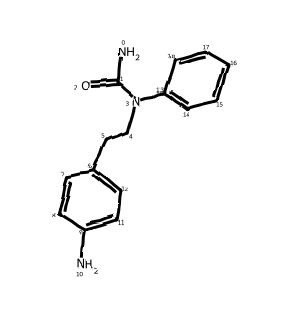 NC(=O)N(CCc1ccc(N)cc1)c1ccccc1